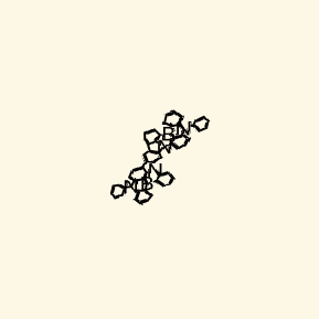 c1ccc(N2c3ccccc3B3c4c2cccc4-n2c4cc5c(cc4c4cccc3c42)c2ccc3c4c2n5-c2ccccc2B4c2ccccc2N3c2ccccc2)cc1